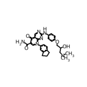 CN(C)CC(O)COc1ccc(Nc2ncc3c(=O)c(C(N)=O)cn(-c4ccc5c(c4)CCC5)c3n2)cc1